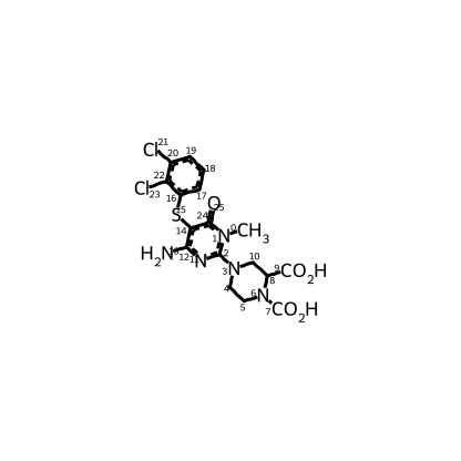 Cn1c(N2CCN(C(=O)O)C(C(=O)O)C2)nc(N)c(Sc2cccc(Cl)c2Cl)c1=O